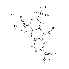 CS(=O)(=O)c1cc(S(C)(=O)=O)c2oc3ccc(C(=O)[O-])cc3c(=O)c2c1.[K+]